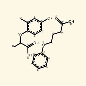 Cc1cc(Cl)ccc1OC(C)C(=O)O.O=C(O)CCCOc1ccccc1